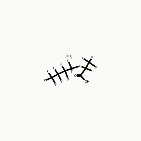 N.O=C(O)C(F)(OC(F)(F)C(F)(F)C(F)(F)C(F)(F)F)C(F)(F)F